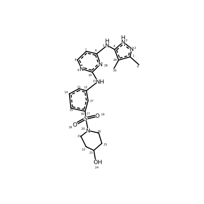 Cc1n[nH]c(Nc2ccnc(Nc3cccc(S(=O)(=O)N4CCC(O)CC4)c3)n2)c1C